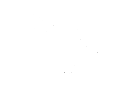 Fc1n[nH]c2ccc(/C(=C(/c3ccccc3)C3CCC3)c3ccc(/C=C/c4ncc[nH]4)cc3)cc12